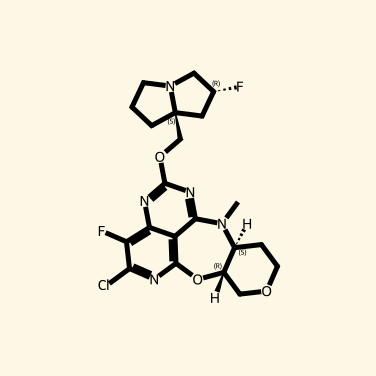 CN1c2nc(OC[C@@]34CCCN3C[C@H](F)C4)nc3c(F)c(Cl)nc(c23)O[C@H]2COCC[C@@H]21